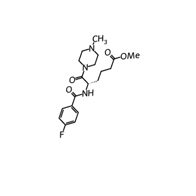 COC(=O)CCC[C@H](NC(=O)c1ccc(F)cc1)C(=O)N1CCN(C)CC1